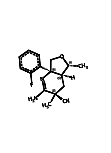 C[C@H]1OC[C@]2(c3ccccc3F)N=C(N)[C@](C)(C#N)C[C@H]12